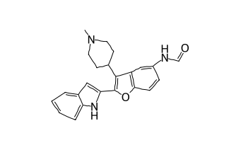 CN1CCC(c2c(-c3cc4ccccc4[nH]3)oc3ccc(NC=O)cc23)CC1